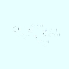 O=C(O)CN(CCN(CC(=O)O)OC(=O)O)CCN(CC(=O)O)C(CCCc1ccccc1)C(=O)O